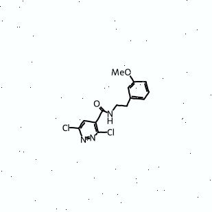 COc1cccc(CCNC(=O)c2cc(Cl)nnc2Cl)c1